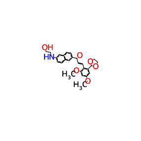 COc1cc(OC)c(C=CC(=O)c2ccc3cc(NCCO)ccc3c2)c(C2OCCO2)c1